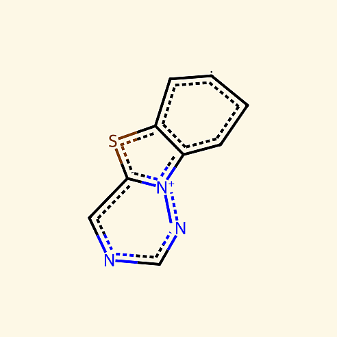 [c]1ccc2c(c1)sc1cncn[n+]12